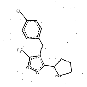 Cc1nnc(C2CCCN2)n1Cc1ccc(Cl)cc1